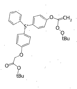 C=C(OOC(C)(C)C)Oc1ccc([S+](c2ccccc2)c2ccc(OCC(=O)OC(C)(C)C)cc2)cc1